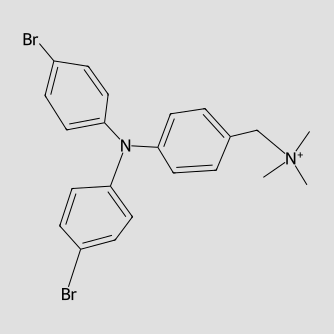 C[N+](C)(C)Cc1ccc(N(c2ccc(Br)cc2)c2ccc(Br)cc2)cc1